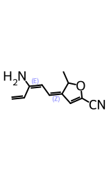 C=C/C(N)=C\C=C1\C=C(C#N)OC1C